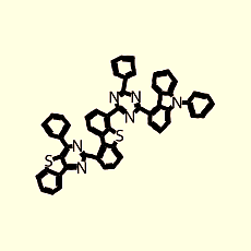 c1ccc(-c2nc(-c3cccc4c3sc3cccc(-c5nc(-c6ccccc6)c6sc7ccccc7c6n5)c34)nc(-c3cccc4c3c3ccccc3n4-c3ccccc3)n2)cc1